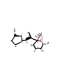 CC(=CC1CCCC1)C1([SiH3])CCCCO1